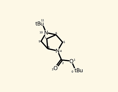 CC(C)(C)OC(=O)N1CC2CC1CN2C(C)(C)C